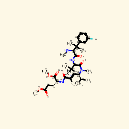 CN[C@H](C(=O)NC(C(=O)N(C)[C@H](/C=C(\C)C(=O)N[C@H](CCC(=O)OC)C(=O)OC)C(C)C)C(C)(C)C)C(C)(C)c1cccc(F)c1